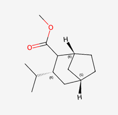 COC(=O)C1[C@@H]2CC[C@@H](C2)C[C@@H]1C(C)C